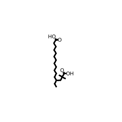 CCC(CCCCCCCCCCCC(=O)O)CC(C)(C)C(=O)O